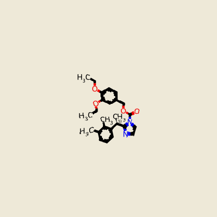 CCOc1ccc(COC(=O)n2ccnc2[C@@H](C)c2cccc(C)c2C)cc1OCC